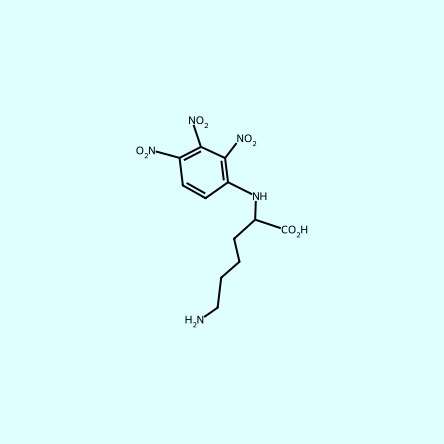 NCCCCC(Nc1ccc([N+](=O)[O-])c([N+](=O)[O-])c1[N+](=O)[O-])C(=O)O